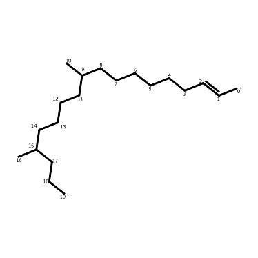 [CH2]/C=C/CCCCCCC(C)CCCCC(C)CC[CH2]